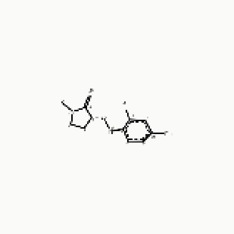 CN1CC[C@@H](CNc2ccc(F)cc2F)C1=O